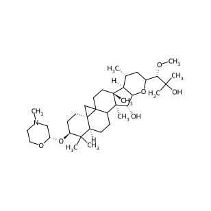 CO[C@@H](C1C[C@@H](C)[C@H]2C(O1)[C@H](O)[C@@]1(C)C3CC[C@H]4C(C)(C)[C@@H](O[C@H]5CN(C)CCO5)CC[C@@]45CC35CC[C@]21C)C(C)(C)O